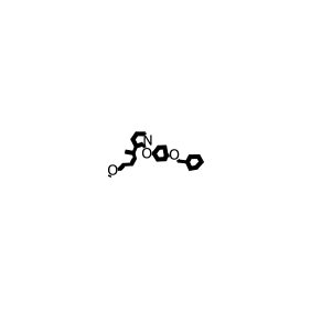 C=C(/C=C\C=C\OC)c1cccnc1Oc1ccc(OCc2ccccc2)cc1